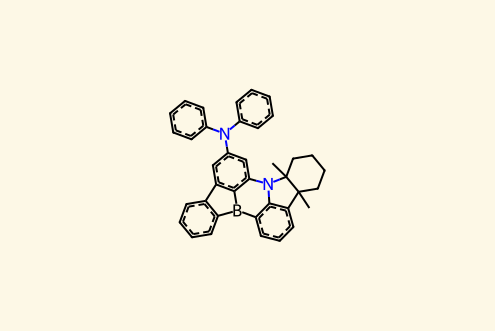 CC12CCCCC1(C)N1c3cc(N(c4ccccc4)c4ccccc4)cc4c3B(c3ccccc3-4)c3cccc2c31